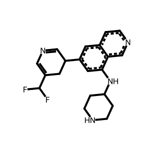 FC(F)C1=CN=CC(c2cc(NC3CCNCC3)c3cnccc3c2)C1